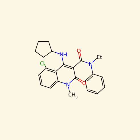 CCN(C(=O)c1c(NC2CCCC2)c2c(Cl)cccc2n(C)c1=O)c1ccccc1